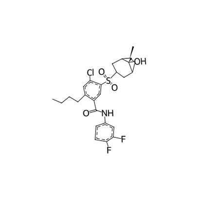 CCCCc1cc(Cl)c(S(=O)(=O)C2CC3C[C@H](C)C(C2)[C@]3(C)O)cc1C(=O)Nc1ccc(F)c(F)c1